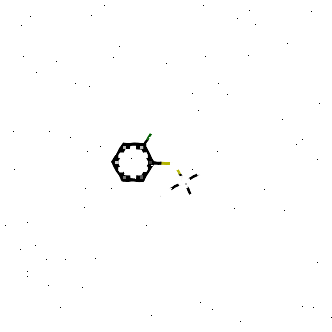 C[Si](C)(C)Sc1ccccc1Cl